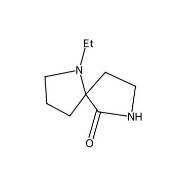 CCN1CCCC12CCNC2=O